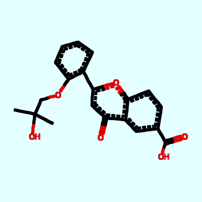 CC(C)(O)COc1ccccc1-c1cc(=O)c2cc(C(=O)O)ccc2o1